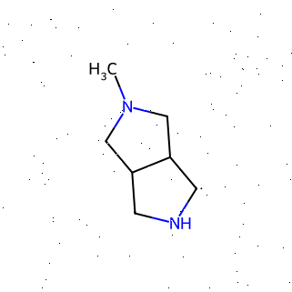 CN1CC2[CH]NCC2C1